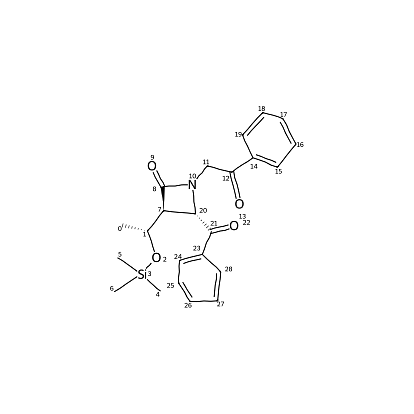 C[C@@H](O[Si](C)(C)C)[C@H]1C(=O)N(CC(=O)c2ccccc2)[C@@H]1C(=O)c1ccccc1